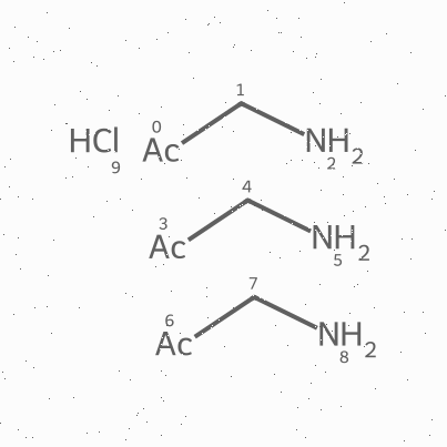 CC(=O)CN.CC(=O)CN.CC(=O)CN.Cl